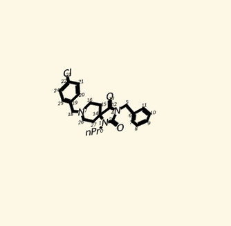 CCCN1C(=O)N(Cc2ccccc2)C(=O)C12CCN(Cc1ccc(Cl)cc1)CC2